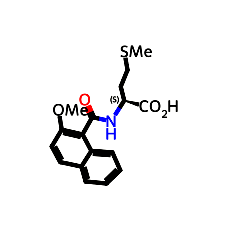 COc1ccc2ccccc2c1C(=O)N[C@@H](CCSC)C(=O)O